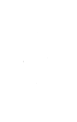 COc1cc(C(=O)N2CCC(C(F)(F)F)CC2)cc(-c2[nH]c3c(C)c(C#N)cc4c3c2CCNC4=O)c1